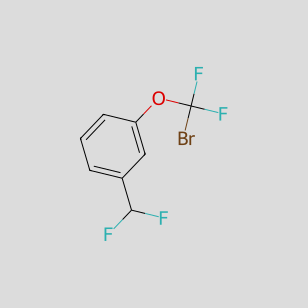 FC(F)c1cccc(OC(F)(F)Br)c1